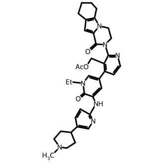 CCn1cc(-c2ccnc(N3CCn4c(cc5c4CCCC5)C3=O)c2COC(C)=O)cc(Nc2ccc(C3CCN(C)CC3)cn2)c1=O